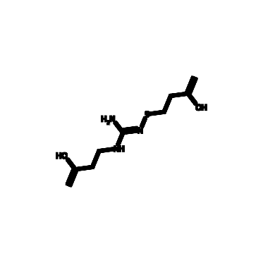 C=C(O)CCN/C(N)=N/SCCC(=C)O